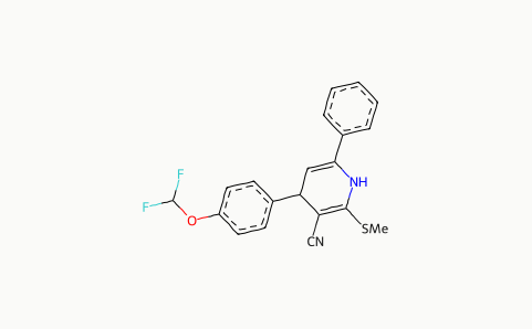 CSC1=C(C#N)C(c2ccc(OC(F)F)cc2)C=C(c2ccccc2)N1